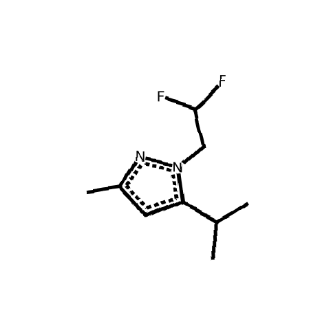 Cc1cc(C(C)C)n(CC(F)F)n1